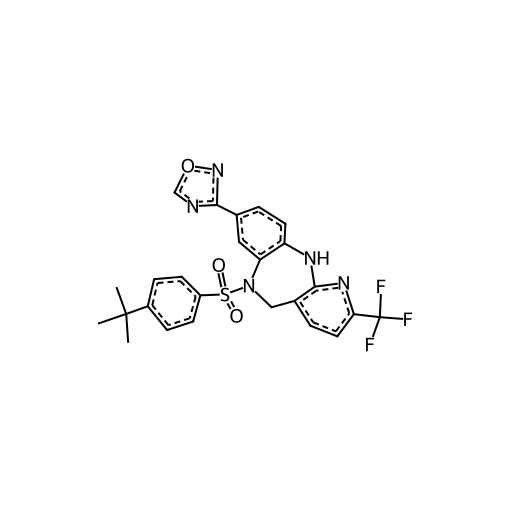 CC(C)(C)c1ccc(S(=O)(=O)N2Cc3ccc(C(F)(F)F)nc3Nc3ccc(-c4ncon4)cc32)cc1